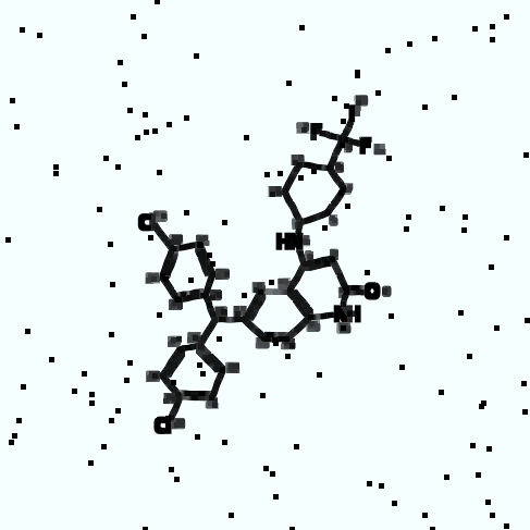 O=c1cc(NC2CCC(C(F)(F)F)CC2)c2cc(C(c3ccc(Cl)cc3)c3ccc(Cl)cc3)ccc2[nH]1